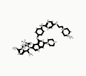 CC(c1cnc([N+](=O)[O-])n1C)N(c1cnc2cc(N3CCOCC3)nc(OC3CCC(Nc4ncc(OCCN5CCN(C)CC5)cn4)CC3)c2c1)S(C)(=O)=O